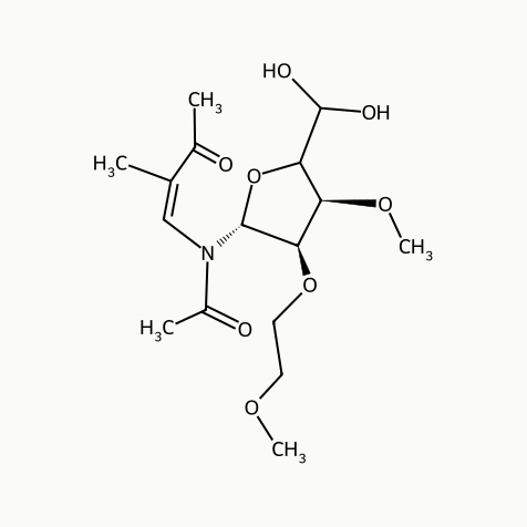 COCCO[C@@H]1[C@H](OC)C(C(O)O)O[C@H]1N(/C=C(/C)C(C)=O)C(C)=O